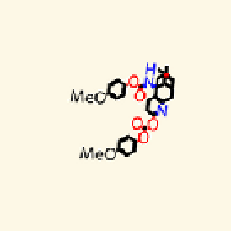 C/C=C1/C2C=C(C)CC1(NC(=O)Oc1ccc(OC)cc1)c1ccc(OC(=O)Oc3ccc(OC)cc3)nc1C2